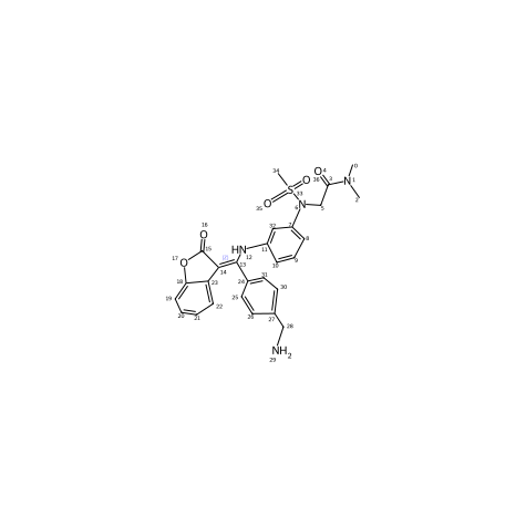 CN(C)C(=O)CN(c1cccc(N/C(=C2\C(=O)Oc3ccccc32)c2ccc(CN)cc2)c1)S(C)(=O)=O